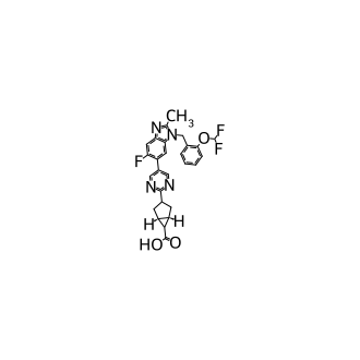 Cc1nc2cc(F)c(-c3cnc(C4C[C@@H]5C(C(=O)O)[C@@H]5C4)nc3)cc2n1Cc1ccccc1OC(F)F